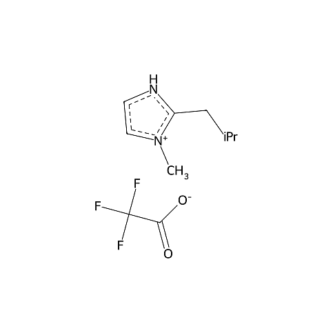 CC(C)Cc1[nH]cc[n+]1C.O=C([O-])C(F)(F)F